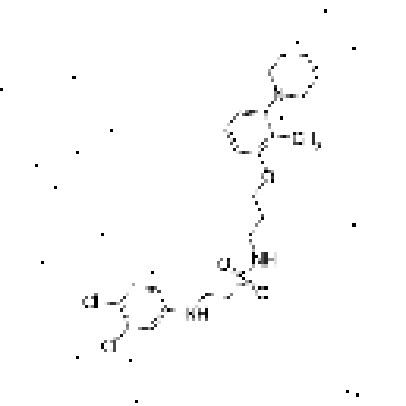 Cc1c(OCCCNS(=O)(=O)CCNc2ccc(Cl)c(Cl)c2)cccc1N1CCCCC1